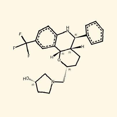 O[C@H]1CCN(C[C@H]2CC[C@@H]3[C@H](O2)c2cc(C(F)(F)F)ccc2N[C@H]3c2ccccc2)C1